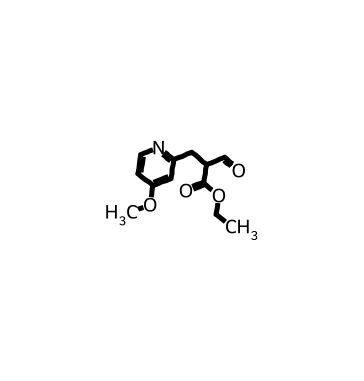 CCOC(=O)C(C=O)Cc1cc(OC)ccn1